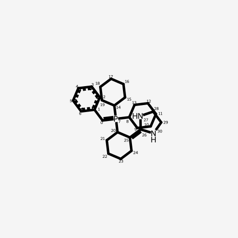 C(c1ccccc1)=P(C1CCCCC1)(C1CCCCC1)C1CCCCC1=C1NCCN1